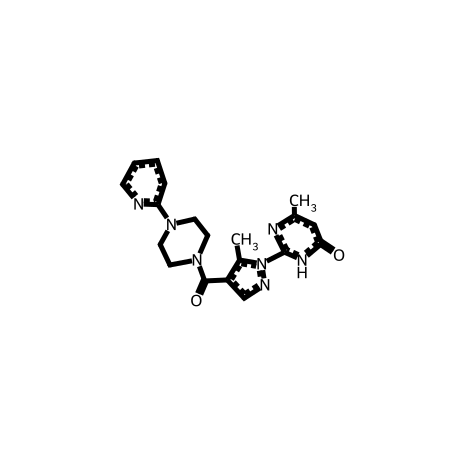 Cc1cc(=O)[nH]c(-n2ncc(C(=O)N3CCN(c4ccccn4)CC3)c2C)n1